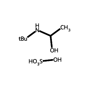 CC(O)NC(C)(C)C.O=S(=O)(O)O